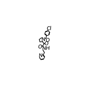 O=C(NCCc1ccccn1)C(=O)C1CCCN1C(=O)c1ccc(Cl)cc1